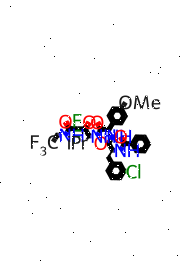 COc1ccc([C@H](NC(=O)[C@H](Cc2cccc(Cl)c2)NC(=O)c2ccccc2)C(=O)N[C@H](C(=O)C(F)(F)C(=O)NCC(F)(F)F)C(C)C)cc1